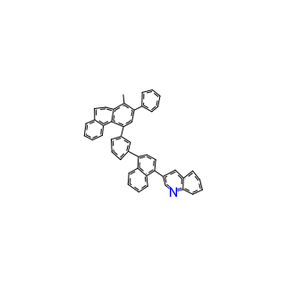 Cc1c(-c2ccccc2)cc(-c2cccc(-c3ccc(-c4cnc5ccccc5c4)c4ccccc34)c2)c2c1ccc1ccccc12